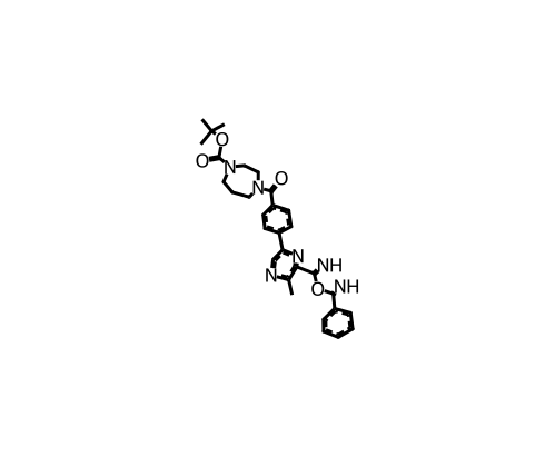 Cc1ncc(-c2ccc(C(=O)N3CCCN(C(=O)OC(C)(C)C)CC3)cc2)nc1C(=N)OC(=N)c1ccccc1